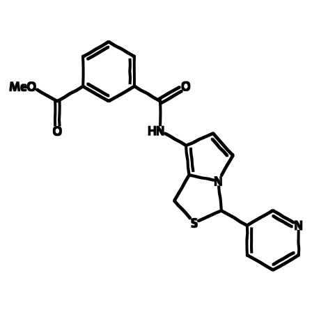 COC(=O)c1cccc(C(=O)Nc2ccn3c2CSC3c2cccnc2)c1